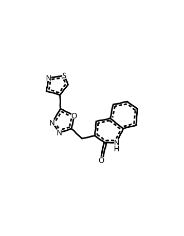 O=c1[nH]c2ccccc2cc1Cc1nnc(-c2cnsc2)o1